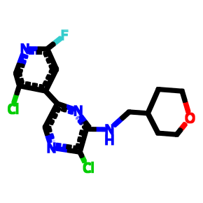 Fc1cc(-c2cnc(Cl)c(NCC3CCOCC3)n2)c(Cl)cn1